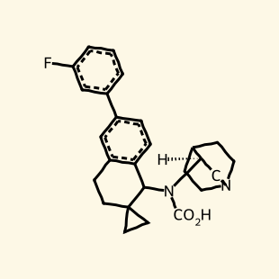 O=C(O)N(C1c2ccc(-c3cccc(F)c3)cc2CCC12CC2)[C@@H]1CN2CCC1CC2